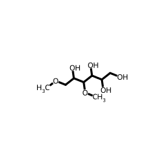 COCC(O)C(OC)C(O)C(O)CO